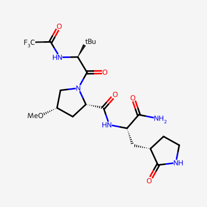 CO[C@H]1C[C@@H](C(=O)N[C@@H](C[C@@H]2CCNC2=O)C(N)=O)N(C(=O)[C@@H](NC(=O)C(F)(F)F)C(C)(C)C)C1